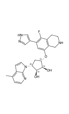 Cc1ccnc2c1ccn2[C@@H]1C[C@H](Oc2cc(-c3cn[nH]c3)c(F)c3c2CNCC3)[C@@H](O)[C@H]1O